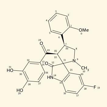 COc1ccccc1[C@H]1CN(C)C2(C(=O)Nc3ccc(F)cc32)[C@H]1C(=O)c1ccc(O)c(O)c1